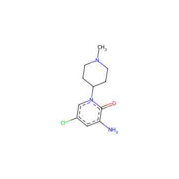 CN1CCC(n2cc(Cl)cc(N)c2=O)CC1